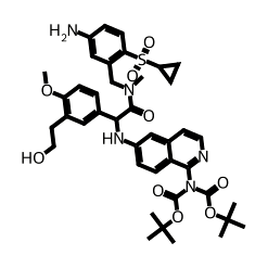 COc1ccc(C(Nc2ccc3c(N(C(=O)OC(C)(C)C)C(=O)OC(C)(C)C)nccc3c2)C(=O)N(C)Cc2cc(N)ccc2S(=O)(=O)C2CC2)cc1CCO